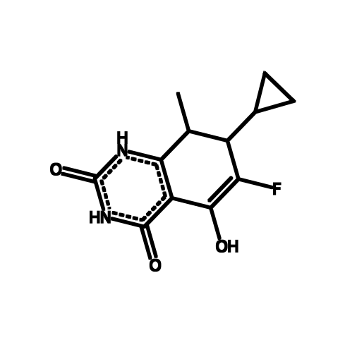 CC1c2[nH]c(=O)[nH]c(=O)c2C(O)=C(F)C1C1CC1